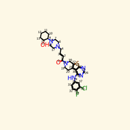 O=C(/C=C/CN1CCN([C@@H]2CCCC[C@H]2O)CC1)N1CCc2c(sc3ncnc(Nc4ccc(F)c(Cl)c4)c23)C1